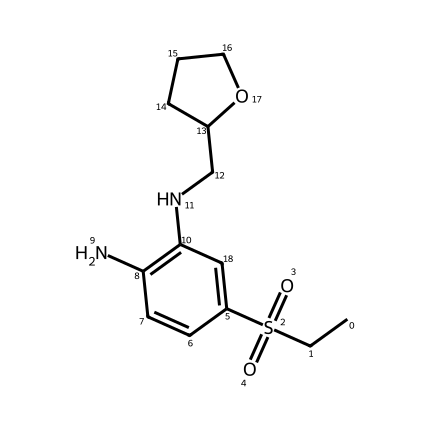 CCS(=O)(=O)c1ccc(N)c(NCC2CCCO2)c1